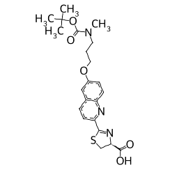 CN(CCCOc1ccc2nc(C3=N[C@@H](C(=O)O)CS3)ccc2c1)C(=O)OC(C)(C)C